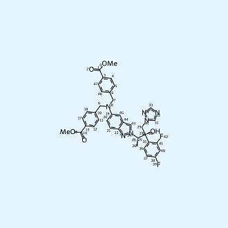 COC(=O)c1ccc(CN(Cc2ccc(C(=O)OC)cc2)c2ccc3nn([C@H](C)[C@](O)(Cn4cncn4)c4ccc(F)cc4F)cc3c2)cc1